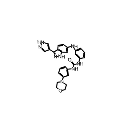 O=C(Nc1cccc(Nc2ccc3c(-c4cn[nH]c4)n[nH]c3c2)c1)Nc1cccc(N2CCOCC2)c1